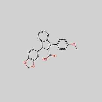 COc1ccc([C@@H]2c3ccccc3[C@H](c3ccc4c(c3)OCO4)[C@H]2C(=O)O)cc1